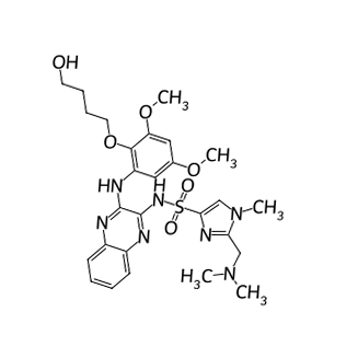 COc1cc(Nc2nc3ccccc3nc2NS(=O)(=O)c2cn(C)c(CN(C)C)n2)c(OCCCCO)c(OC)c1